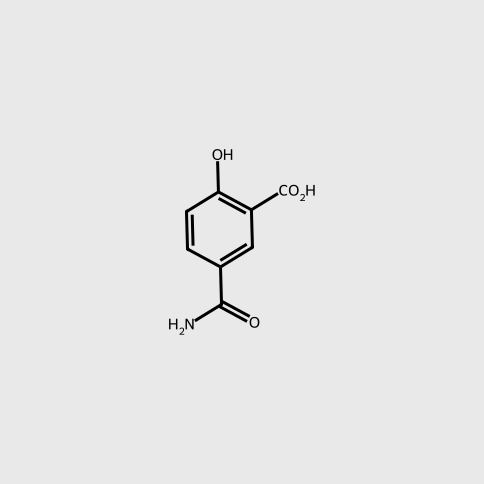 NC(=O)c1ccc(O)c(C(=O)O)c1